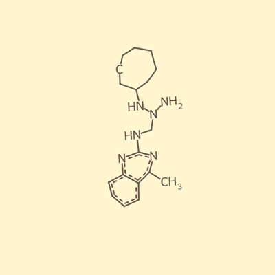 Cc1nc(NCN(N)NC2CCCCCCC2)nc2ccccc12